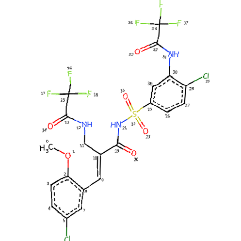 COc1ccc(Cl)cc1C=C(CNC(=O)C(F)(F)F)C(=O)NS(=O)(=O)c1ccc(Cl)c(NC(=O)C(F)(F)F)c1